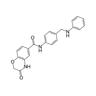 O=C1COc2ccc(C(=O)Nc3ccc(CNc4ccccc4)cc3)cc2N1